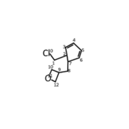 ClCC1C=CC=CC1CC1COC1